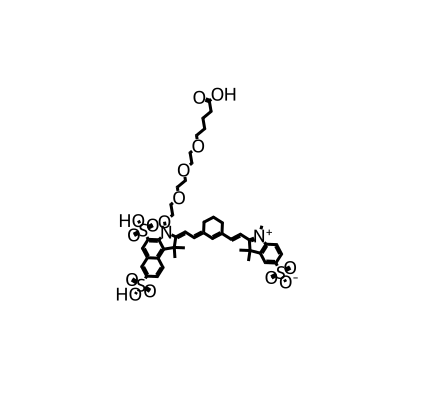 C[N+]1=C(/C=C/C2=CC(=C/C=C3/N(OCCOCCOCCOCCCCC(=O)O)c4c(S(=O)(=O)O)cc5cc(S(=O)(=O)O)ccc5c4C3(C)C)/CCC2)C(C)(C)c2cc(S(=O)(=O)[O-])ccc21